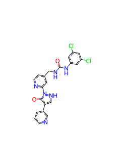 O=C(NCc1ccnc(-n2[nH]cc(-c3cccnc3)c2=O)c1)Nc1cc(Cl)cc(Cl)c1